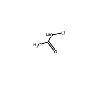 CC(=O)OCl.[La]